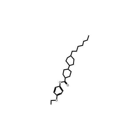 CCCCCCCC1CCC(C2CCC(C(=O)Oc3ccc(OCC)cc3)CC2)CC1